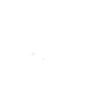 FC(Cl)c1[c]sc2ccccc12